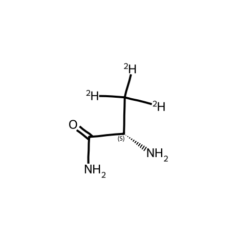 [2H]C([2H])([2H])[C@H](N)C(N)=O